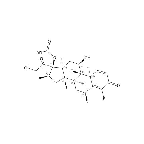 CCCC(=O)O[C@]1(C(=O)CCl)[C@H](C)C[C@H]2[C@@H]3C[C@H](F)C4=C(F)C(=O)C=C[C@]4(C)[C@@]3(F)[C@H](O)C[C@@]21C